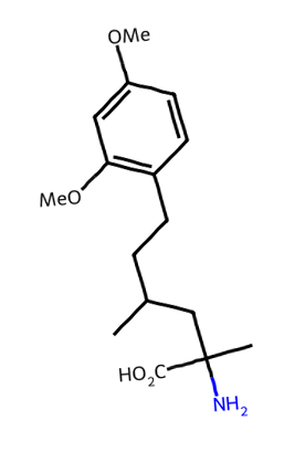 COc1ccc(CCC(C)CC(C)(N)C(=O)O)c(OC)c1